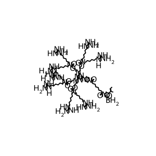 B[C@H]1CN(C(=O)CCCCCCC(=O)N2CCN(c3nc(N(CCOC(=O)N(CCCCCCNC(=N)N)CCCCCCNC(=N)N)CCOC(=O)N(CCCCCCNC(=N)N)CCCCCCNC(=N)N)nc(N(CCOC(=O)N(CCCCCCNC(=N)N)CCCCCCNC(=N)N)CCOC(=O)N(CCCCCCNC(=N)N)CCCCCCNC(=N)N)n3)CC2)CC(C(C)=CC)O1